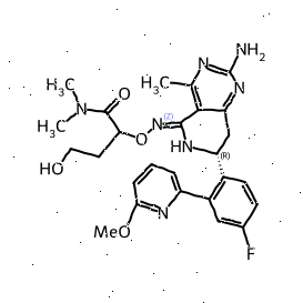 COc1cccc(-c2cc(F)ccc2[C@H]2Cc3nc(N)nc(C)c3/C(=N/OC(CCO)C(=O)N(C)C)N2)n1